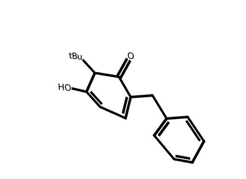 CC(C)(C)C1C(=O)C(Cc2ccccc2)=CC=C1O